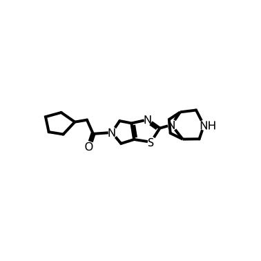 O=C(CC1CCCC1)N1Cc2nc(N3C4CCC3CNC4)sc2C1